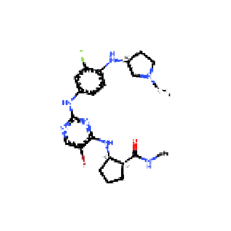 CC(C)NC(=O)[C@H]1CCC[C@H]1Nc1nc(Nc2ccc(N[C@H]3CCN(C)C3)c(F)c2)ncc1Br